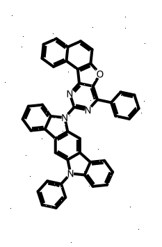 c1ccc(-c2nc(-n3c4ccccc4c4cc5c(cc43)c3ccccc3n5-c3ccccc3)nc3c2oc2ccc4ccccc4c23)cc1